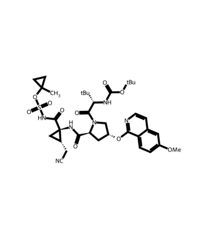 COc1ccc2c(O[C@@H]3C[C@@H](C(=O)N[C@]4(C(=O)NS(=O)(=O)OC5(C)CC5)C[C@H]4CC#N)N(C(=O)[C@@H](NC(=O)OC(C)(C)C)C(C)(C)C)C3)nccc2c1